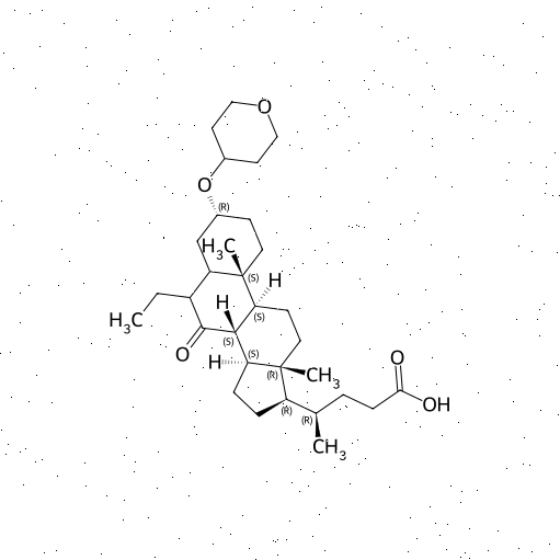 CCC1C(=O)[C@H]2[C@@H]3CC[C@H]([C@H](C)CCC(=O)O)[C@@]3(C)CC[C@@H]2[C@@]2(C)CC[C@@H](OC3CCOCC3)CC12